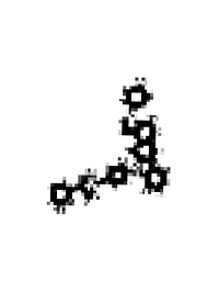 c1ccc(-c2cnc(-c3ccc(-n4c5ccccc5c5cc6ccc7c(ccn7-c7ccccc7)c6cc54)cc3)nc2)cc1